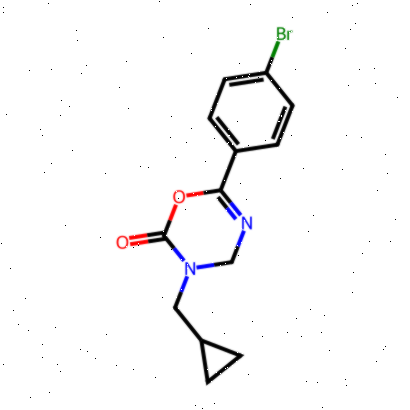 O=C1OC(c2ccc(Br)cc2)=NCN1CC1CC1